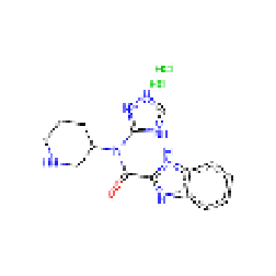 Cl.Cl.O=C(c1nc2ccccc2[nH]1)N(c1nnc[nH]1)C1CCCNC1